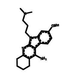 COc1ccc2c3c(N)c4c(nc3n(CCCN(C)C)c2c1)CCCC4